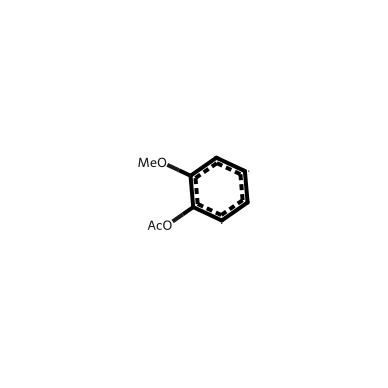 COc1c[c]c[c]c1OC(C)=O